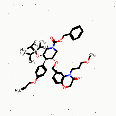 C=CCOc1ccc([C@@H]2[C@@H](OCc3ccc4c(c3)N(CCCOC)C(=O)CO4)CN(C(=O)OCc3ccccc3)C[C@H]2O[Si](C(C)C)(C(C)C)C(C)C)cc1